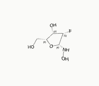 OC[C@H]1O[C@@H](NO)[C@@H](F)[C@H]1O